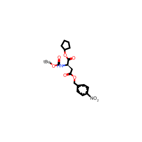 CC(C)(C)OC(=O)N[C@H](CC(=O)OCc1ccc([N+](=O)[O-])cc1)C(=O)OC1CCCC1